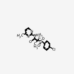 Cc1ccnc(NC(=O)C(C)(C)S(=O)(=O)c2ccc(Cl)cc2)n1